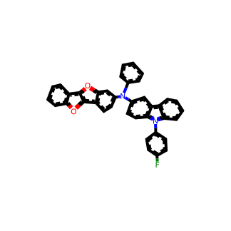 Fc1ccc(-n2c3ccccc3c3cc(N(c4ccccc4)c4ccc5c(c4)oc4c6ccccc6oc54)ccc32)cc1